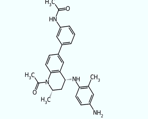 CC(=O)Nc1cccc(-c2ccc3c(c2)[C@H](Nc2ccc(N)cc2C)C[C@H](C)N3C(C)=O)c1